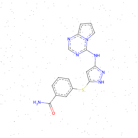 NC(=O)c1cccc(Sc2cc(Nc3ncnc4cccn34)n[nH]2)c1